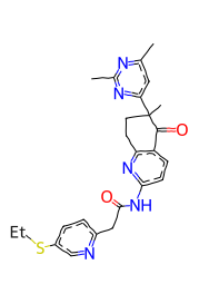 CCSc1ccc(CC(=O)Nc2ccc3c(n2)CCC(C)(c2cc(C)nc(C)n2)C3=O)nc1